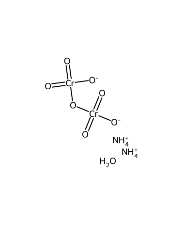 O.[NH4+].[NH4+].[O]=[Cr](=[O])([O-])[O][Cr](=[O])(=[O])[O-]